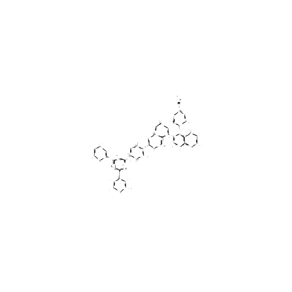 N#Cc1ccc(-c2c(-c3cccc4cc(-c5ccc(-c6nc(-c7ccccc7)nc(-c7ccccc7)n6)cc5)ccc34)ccc3ccccc23)cc1